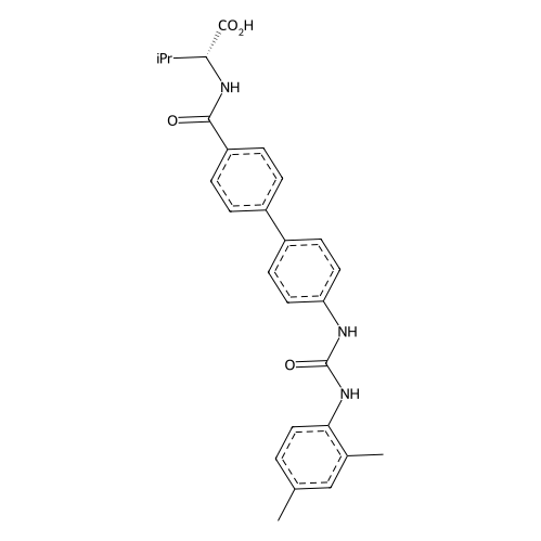 Cc1ccc(NC(=O)Nc2ccc(-c3ccc(C(=O)N[C@@H](C(=O)O)C(C)C)cc3)cc2)c(C)c1